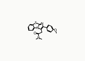 COc1ccc(-c2nc3sc4ccccc4n3c2CC(=O)N(C)C)cc1